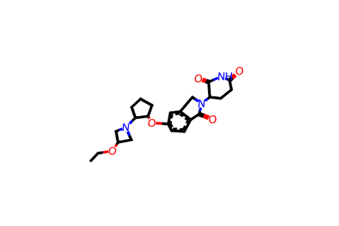 CCOC1CN(C2CCCC2Oc2ccc3c(c2)CN(C2CCC(=O)NC2=O)C3=O)C1